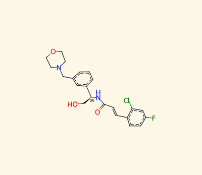 O=C(C=Cc1ccc(F)cc1Cl)N[C@@H](CO)c1cccc(CN2CCOCC2)c1